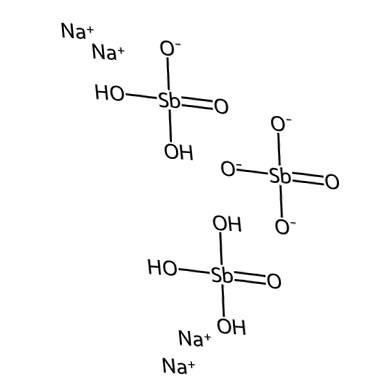 [Na+].[Na+].[Na+].[Na+].[O]=[Sb]([O-])([O-])[O-].[O]=[Sb]([O-])([OH])[OH].[O]=[Sb]([OH])([OH])[OH]